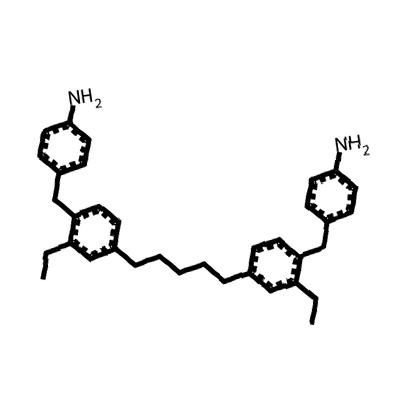 CCc1cc(CCCCCc2ccc(Cc3ccc(N)cc3)c(CC)c2)ccc1Cc1ccc(N)cc1